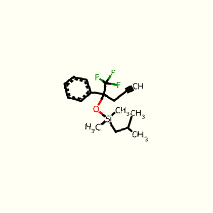 C#CCC(O[Si](C)(C)CC(C)C)(c1ccccc1)C(F)(F)F